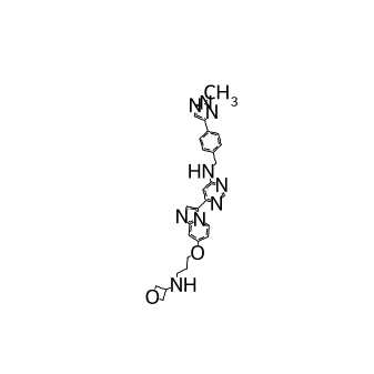 Cn1ncc(-c2ccc(CNc3cc(-c4cnc5cc(OCCCNC6COC6)ccn45)ncn3)cc2)n1